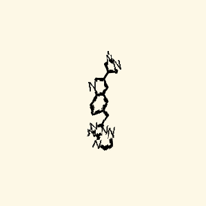 Cn1cc(-c2cnc3ccc(Cc4nnc5nccnn45)cc3c2)cn1